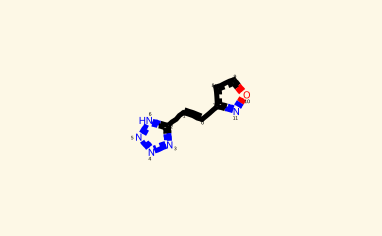 C(=Cc1nnn[nH]1)c1ccon1